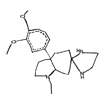 COc1ccc(C23CCN(C)C2CC2(CC3)NCCN2)cc1OC